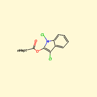 CCCCCCCC(=O)Oc1c(Cl)c2ccccc2n1Cl